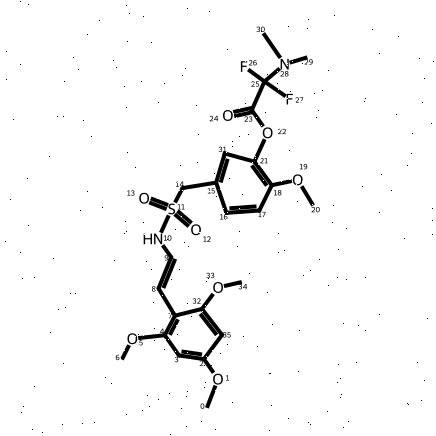 COc1cc(OC)c(/C=C/NS(=O)(=O)Cc2ccc(OC)c(OC(=O)C(F)(F)N(C)C)c2)c(OC)c1